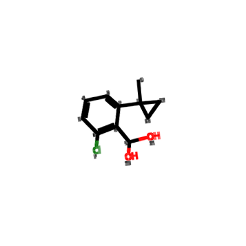 CC1(c2cccc(Cl)c2C(O)O)CC1